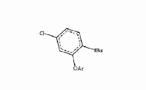 CC(=O)Oc1cc(Cl)ccc1C(C)(C)C